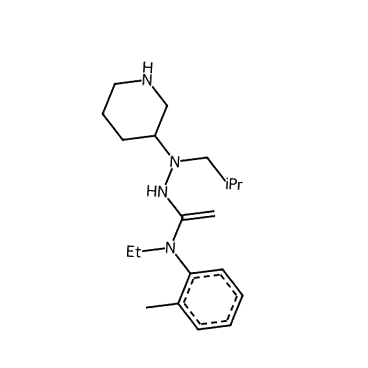 C=C(NN(CC(C)C)C1CCCNC1)N(CC)c1ccccc1C